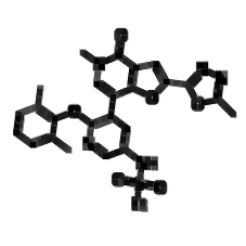 CCS(=O)(=O)Nc1cnc(Oc2c(C)cccc2C)c(-c2cn(C)c(=O)c3cc(-c4nnc(C)o4)oc23)c1